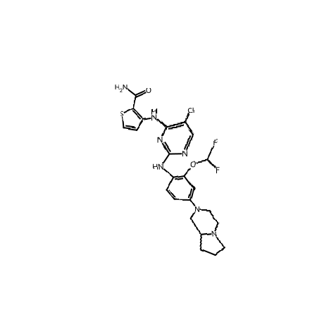 NC(=O)c1sccc1Nc1nc(Nc2ccc(N3CCN4CCCC4C3)cc2OC(F)F)ncc1Cl